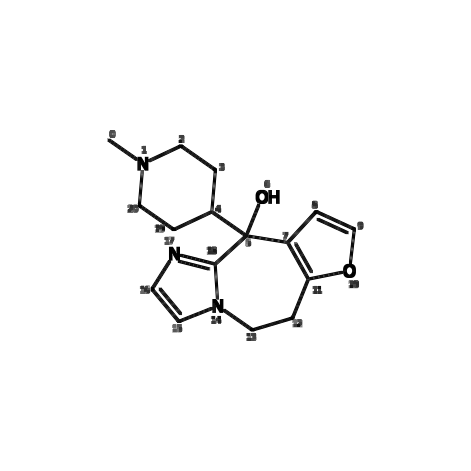 CN1CCC(C2(O)c3ccoc3CCn3ccnc32)CC1